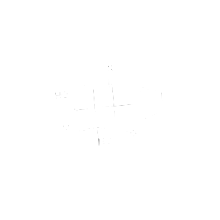 CCC(C)(C)C(CC)(C(=O)O)C(C#N)(C(=O)O)C1CCCC1